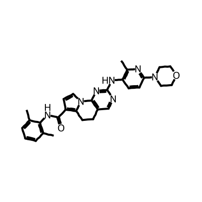 Cc1cccc(C)c1NC(=O)c1ccn2c1CCc1cnc(Nc3ccc(N4CCOCC4)nc3C)nc1-2